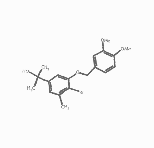 COc1ccc(COc2cc(C(C)(C)O)cc(C)c2Br)cc1OC